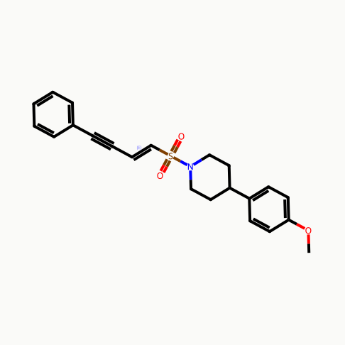 COc1ccc(C2CCN(S(=O)(=O)/C=C/C#Cc3ccccc3)CC2)cc1